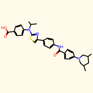 CC1CC(C)CN(c2ccc(C(=O)Nc3ccc(-c4csc(N(c5ccc(C(=O)O)cc5)C(C)C)n4)cc3)cc2)C1